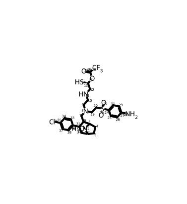 CN1C2CCC1C(CN(CCNC[C@@H](S)OC(=O)C(F)(F)F)CCS(=O)(=O)c1ccc(N)cc1)C(c1ccc(Cl)cc1)C2